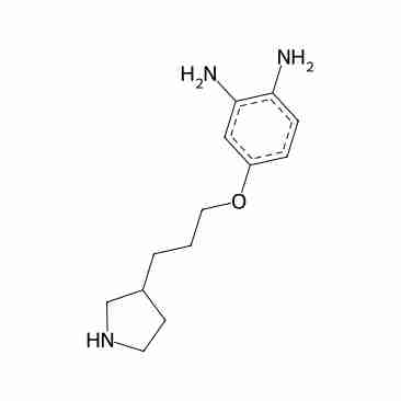 Nc1ccc(OCCCC2CCNC2)cc1N